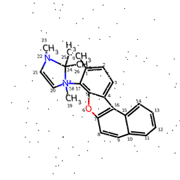 Cc1ccc2c(oc3ccc4ccccc4c32)c1[N+]1(C)C=CN(C)C1(C)C